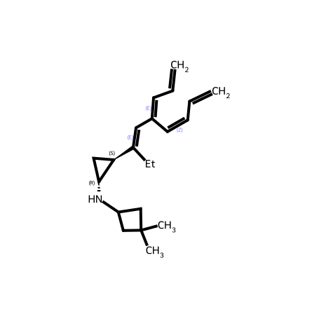 C=C\C=C/C(=C\C=C)/C=C(\CC)[C@@H]1C[C@H]1NC1CC(C)(C)C1